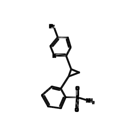 CC(C)c1ccc(C2CC2c2ccccc2S(N)(=O)=O)nc1